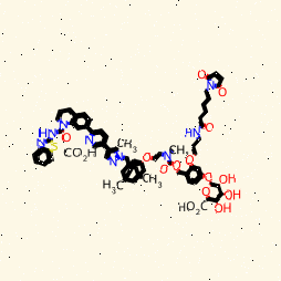 Cc1c(-c2ccc(-c3ccc4c(c3)N(C(=O)Nc3nc5ccccc5s3)CCC4)nc2C(=O)O)cnn1CC12CC3(C)CC(C)(C1)CC(OCCN(C)C(=O)OCc1ccc(O[C@@H]4O[C@H](C(=O)O)[C@@H](O)[C@H](O)[C@H]4O)cc1OCCCNC(=O)CCCCCN1C(=O)C=CC1=O)(C3)C2